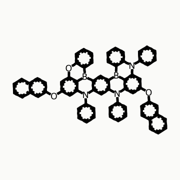 c1ccc(N2c3cc4c(cc3B3c5ccccc5Oc5cc(Oc6ccc7ccccc7c6)cc2c53)B2c3ccccc3N(c3ccccc3)c3cc(Oc5ccc6ccccc6c5)cc(c32)N4c2ccccc2)cc1